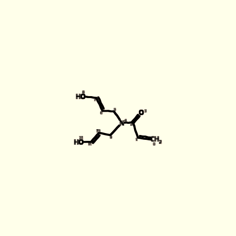 C=CC(=O)N(CC=CO)CC=CO